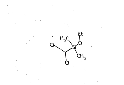 CCO[Si](C)(C)C(Cl)Cl